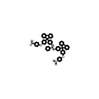 O=[N+]([O-])c1ccc(Oc2ccc(C3(c4ccc(O[SiH](Oc5ccc(C6(c7ccc(Oc8ccc([N+](=O)[O-])cc8)cc7)c7ccccc7-c7ccccc76)cc5)c5ccccc5)cc4)c4ccccc4-c4ccccc43)cc2)cc1